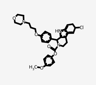 COc1ccc(OC(=O)N2CCc3c([nH]c4c3=CC(Cl)CC=4)C2c2ccc(OCCCN3CCOCC3)cc2)cc1